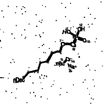 CCCCCCCCCCCCCCCCOOP(=O)(O)O.CCCC[O-].[Na+]